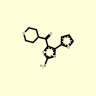 Nc1nc(-c2ccco2)c(C(=O)C2CCOCC2)s1